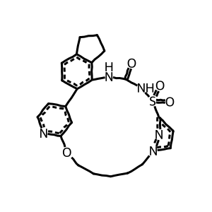 O=C1Nc2c(ccc3c2CCC3)-c2ccnc(c2)OCCCCCn2ccc(n2)S(=O)(=O)N1